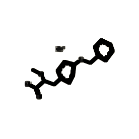 COC(Cc1ccc(OCc2ccccc2)cc1)C(=O)[O-].[Rb+]